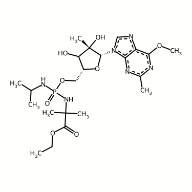 CCOC(=O)C(C)(C)NP(=O)(NC(C)C)OC[C@H]1O[C@@H](n2cnc3c(OC)nc(C)nc32)[C@@](C)(O)C1O